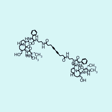 CC[C@H](NC)C(=O)N[C@@H]1C(=O)N2[C@@H](CC[C@@H]1CO)CC[C@H]2C(=O)N[C@H](C(=O)NCCNC(=O)CCC#CC#CCCC(=O)NCCNC(=O)[C@@H](NC(=O)[C@@H]1CC[C@@H]2CC[C@H](CO)[C@H](NC(=O)[C@H](CC)NC)C(=O)N21)c1ccccc1)c1ccccc1